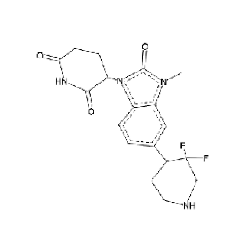 Cn1c(=O)n(C2CCC(=O)NC2=O)c2ccc(C3CCNCC3(F)F)cc21